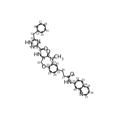 CN1C(=O)[C@H](NC(=O)c2n[nH]c(Cc3ccccc3)n2)COc2ccc(CCC(=O)Nc3ccc4cccnc4c3)cc21